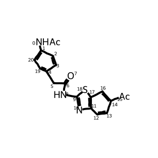 CC(=O)Nc1ccc(CC(=O)Nc2nc3ccc(C(C)=O)cc3s2)cc1